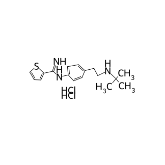 CC(C)(C)NCCc1ccc(NC(=N)c2cccs2)cc1.Cl.Cl